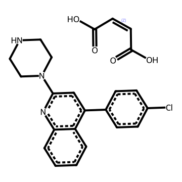 Clc1ccc(-c2cc(N3CCNCC3)nc3ccccc23)cc1.O=C(O)/C=C\C(=O)O